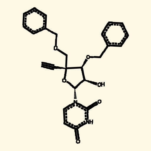 C#C[C@]1(COCc2ccccc2)O[C@@H](n2ccc(=O)[nH]c2=O)[C@H](O)[C@@H]1OCc1ccccc1